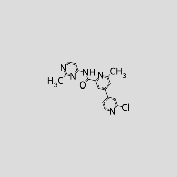 Cc1cc(-c2ccnc(Cl)c2)cc(C(=O)Nc2ccnc(C)n2)n1